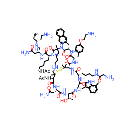 CC(=O)NCCCC[C@H](NC(=O)C(C)(CCCCN)NC(=O)[C@H](Cc1ccc2ccccc2c1)NC(=O)[C@H](Cc1ccc(OCCN)cc1)NC(=O)[C@H]1NC(=O)[C@H](CCCCNC(=O)CN)NC(=O)[C@H](Cc2c[nH]c3c(C)cccc23)NC(=O)[C@H]([C@@H](C)O)NC(=O)[C@H](CC(N)=O)NC(=O)[C@@H](NC(C)=O)C(C)(C)SSC1(C)C)C(=O)N[C@H](CN[C@@H](CCN)CC(C)C)CC(N)=O